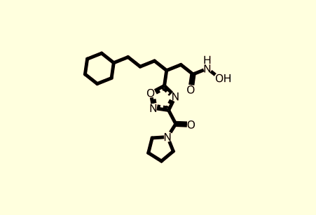 O=C(CC(CCCC1CCCCC1)c1nc(C(=O)N2CCCC2)no1)NO